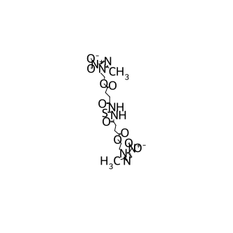 Cc1ncc([N+](=O)[O-])n1CCOC(=O)CCC(=O)NC(=S)NC(=O)CCC(=O)OCCn1c([N+](=O)[O-])cnc1C